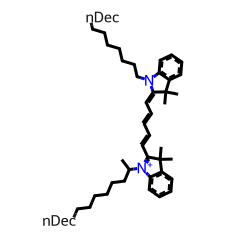 CCCCCCCCCCCCCCCCCN1/C(=C/C=C/C=C/C2=[N+](C(C)CCCCCCCCCCCCCCCC)c3ccccc3C2(C)C)C(C)(C)c2ccccc21